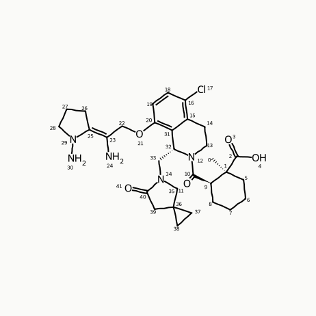 C[C@]1(C(=O)O)CCCC[C@H]1C(=O)N1CCc2c(Cl)ccc(OC/C(N)=C3\CCCN3N)c2[C@H]1CN1CC2(CC2)CC1=O